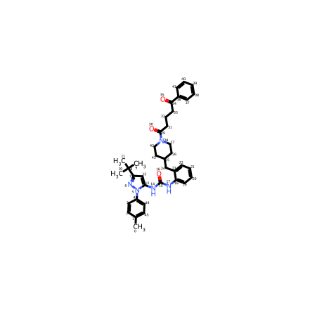 Cc1ccc(-n2nc(C(C)(C)C)cc2NC(=O)Nc2ccccc2CC2CCN(C(=O)CCCC(=O)c3ccccc3)CC2)cc1